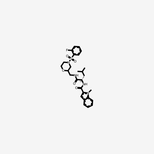 CC(C)C[C@H](NC(=O)c1cc2ccccc2n1C)C(=O)NCC1CN(S(=O)(=O)c2ccccc2F)CCO1